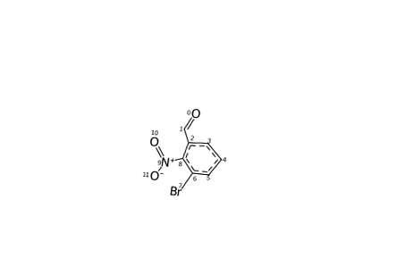 O=Cc1cccc(Br)c1[N+](=O)[O-]